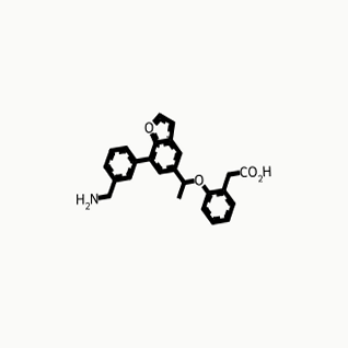 CC(Oc1ccccc1CC(=O)O)c1cc(-c2cccc(CN)c2)c2occc2c1